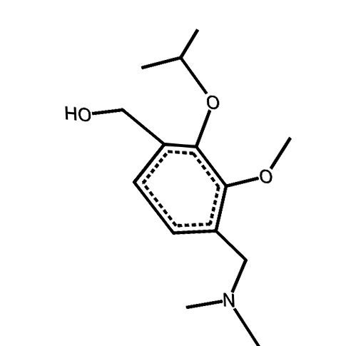 COc1c(CN(C)C)ccc(CO)c1OC(C)C